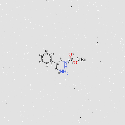 CC(C)(C)OC(=O)NC[C@H](CN)c1ccccc1